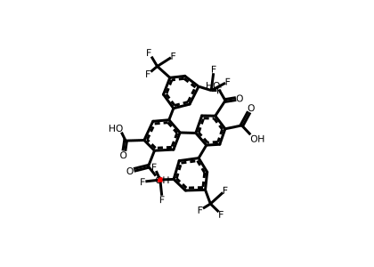 O=C(O)c1cc(-c2cc(C(F)(F)F)cc(C(F)(F)F)c2)c(-c2cc(C(=O)O)c(C(=O)O)cc2-c2cc(C(F)(F)F)cc(C(F)(F)F)c2)cc1C(=O)O